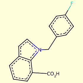 O=C(O)c1cccc2ccn(Cc3ccc(F)cc3)c12